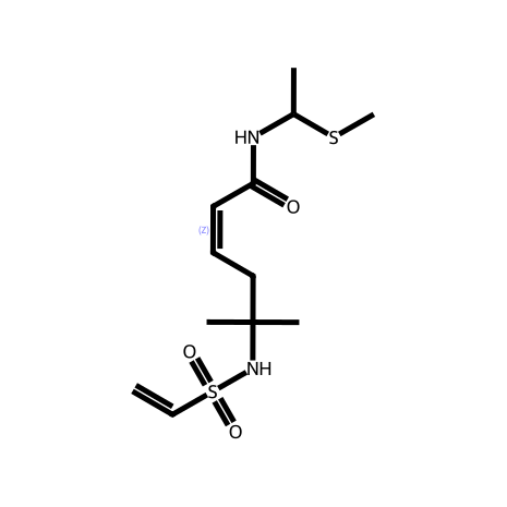 C=CS(=O)(=O)NC(C)(C)C/C=C\C(=O)NC(C)SC